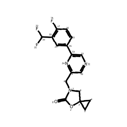 O=C1OC2(CC2)CN1Cc1cncc(-c2ccc(F)c(C(F)F)c2)n1